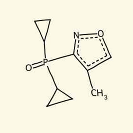 Cc1conc1P(=O)(C1CC1)C1CC1